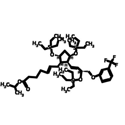 CC[Si](CC)(CC)O[C@H](C=C[C@H]1[C@@H](CC=CCCCC(=O)OC(C)C)[C@H](O[Si](CC)(CC)CC)C[C@H]1O[Si](CC)(CC)CC)COc1cccc(C(F)(F)F)c1